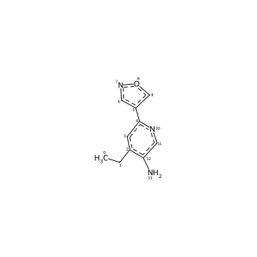 CCc1cc(-c2cnoc2)ncc1N